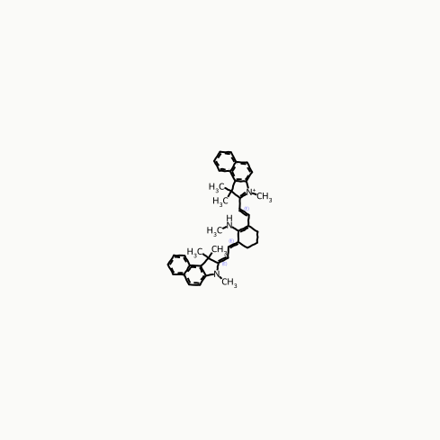 CNC1=C(/C=C/C2=[N+](C)c3ccc4ccccc4c3C2(C)C)CCC/C1=C\C=C1\N(C)c2ccc3ccccc3c2C1(C)C